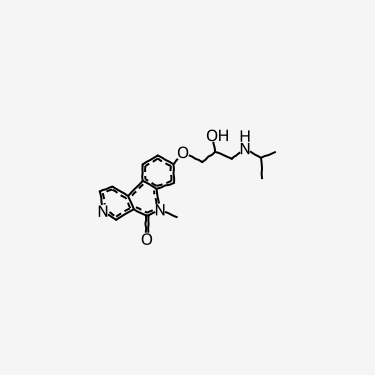 CC(C)NCC(O)COc1ccc2c3ccncc3c(=O)n(C)c2c1